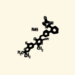 CCCc1nc(C)n(-c2cc(F)c3c(c2)CC(C)(C)O3)c(=O)c1Cc1ccc(-c2ccccc2-c2noc(=O)[nH]2)cc1.[NaH]